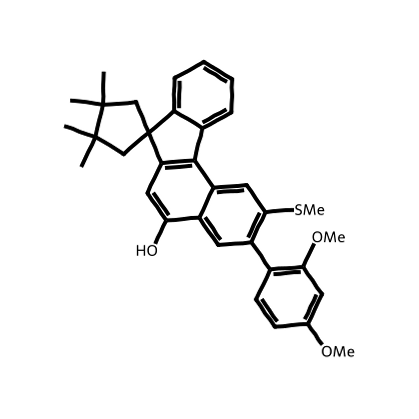 COc1ccc(-c2cc3c(O)cc4c(c3cc2SC)-c2ccccc2C42CC(C)(C)C(C)(C)C2)c(OC)c1